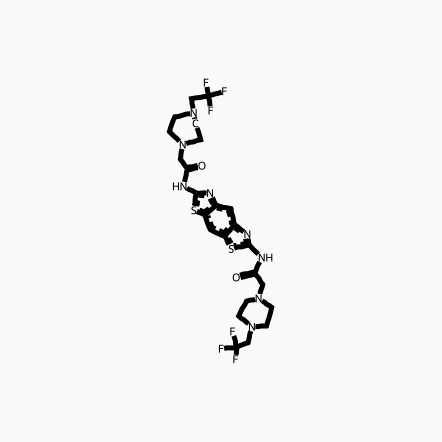 O=C(CN1CCN(CC(F)(F)F)CC1)Nc1nc2cc3nc(NC(=O)CN4CCN(CC(F)(F)F)CC4)sc3cc2s1